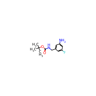 CC(C)(C)OC(=O)NCc1cc(N)cc(F)c1